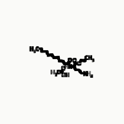 CC(=O)O.CCCCCCCCCCCC(=O)NC(CCCN)C(=O)OCCC